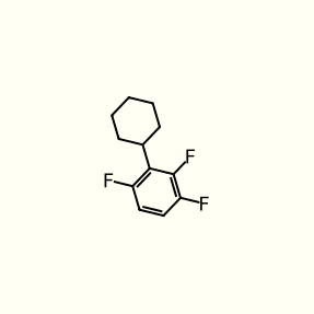 Fc1ccc(F)c(C2CCCCC2)c1F